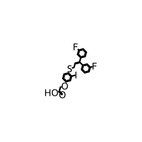 O=C(O)COc1ccc(SCC=C(c2cccc(F)c2)c2cccc(F)c2)c(I)c1